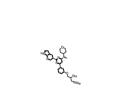 CNCC(O)COc1cccc(-c2cc(N(C)C3CCOCC3)nc(-c3cnc4[nH]ccc4c3)n2)c1